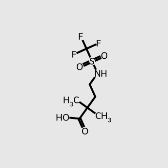 CC(C)(CCNS(=O)(=O)C(F)(F)F)C(=O)O